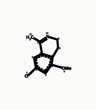 COc1cc(Cl)cc2c1CCN=C2C